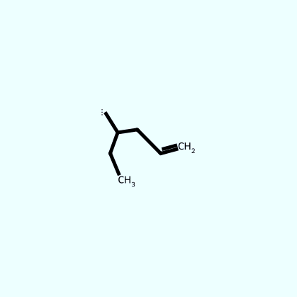 [C]C(CC)CC=C